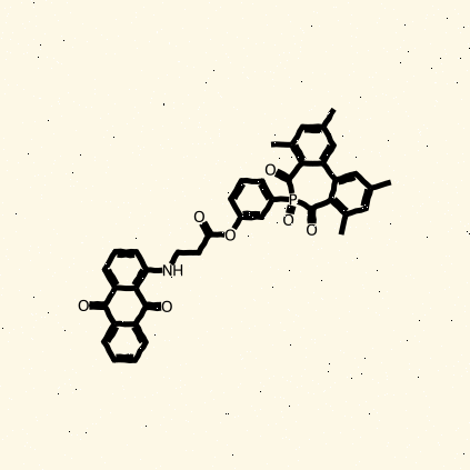 Cc1cc(C)c2c(c1)-c1cc(C)cc(C)c1C(=O)P(=O)(c1cccc(OC(=O)CCNc3cccc4c3C(=O)c3ccccc3C4=O)c1)C2=O